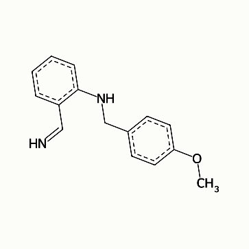 COc1ccc(CNc2ccccc2C=N)cc1